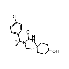 C[C@@H](c1ccc(Cl)cc1)N1CC[C@]2(CC[C@H](O)CC2)NC1=O